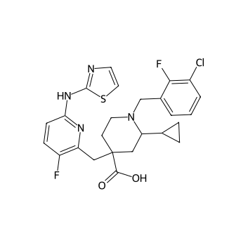 O=C(O)C1(Cc2nc(Nc3nccs3)ccc2F)CCN(Cc2cccc(Cl)c2F)C(C2CC2)C1